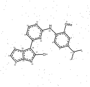 COc1cc(N(C)C)ccc1Nc1nccc(-c2c(Cl)nc3sccn23)n1